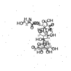 C[C@@](O)(CCO)C(C(=O)O)P(=O)=O.C[C@@](O)(CCO)CC(=O)O.N[C@@H](CCO)C(=O)O.O=C[C@H](O)[C@@H](O)[C@@H](O)[C@H](O)CO